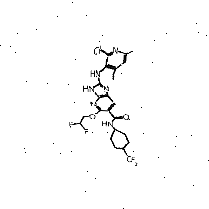 Cc1cc(C)c(Nc2nc3cc(C(=O)NC4CCC(C(F)(F)F)CC4)c(OCC(F)F)nc3[nH]2)c(Cl)n1